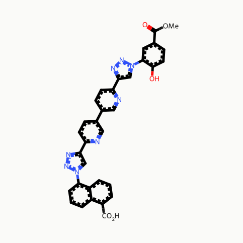 COC(=O)c1ccc(O)c(-n2cc(-c3ccc(-c4ccc(-c5cn(-c6cccc7c(C(=O)O)cccc67)nn5)nc4)cn3)nn2)c1